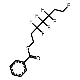 O=C(SCCC(F)(F)C(F)(F)C(F)(F)CCF)c1ccccc1